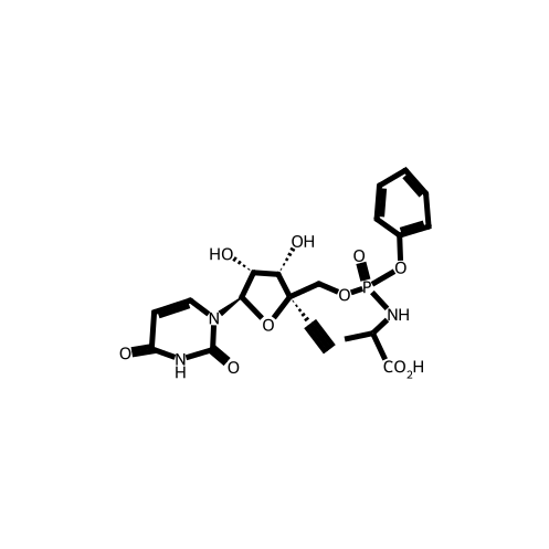 C#C[C@]1(COP(=O)(NC(C)C(=O)O)Oc2ccccc2)O[C@@H](n2ccc(=O)[nH]c2=O)[C@H](O)[C@@H]1O